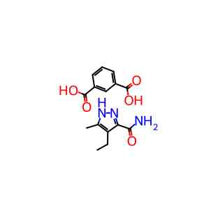 CCc1c(C(N)=O)n[nH]c1C.O=C(O)c1cccc(C(=O)O)c1